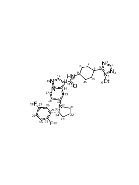 CCn1ncnc1C1CCC(NC(=O)c2cnn3ccc(N4CCC[C@@H]4c4cc(F)ccc4F)cc23)CC1